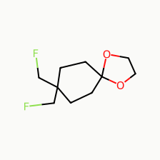 FCC1(CF)CCC2(CC1)OCCO2